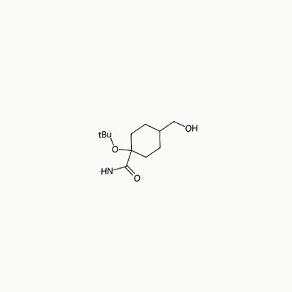 CC(C)(C)OC1(C([NH])=O)CCC(CO)CC1